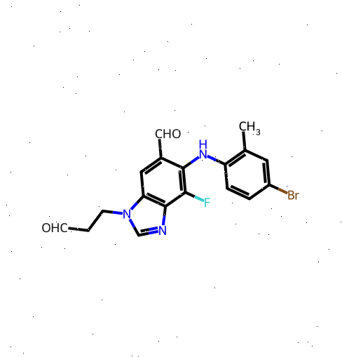 Cc1cc(Br)ccc1Nc1c(C=O)cc2c(ncn2CCC=O)c1F